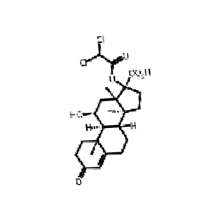 C[C@]12CCC(=O)C=C1CC[C@@H]1[C@@H]2[C@@H](O)C[C@@]2(C)[C@H]1CC[C@]2(OC(=O)C(Cl)Cl)C(=O)O